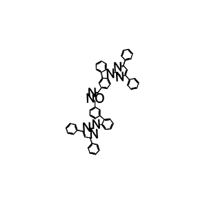 c1ccc(-c2cc(-c3ccccc3)nc(-n3c4ccccc4c4cc(-c5nnc(-c6ccc7c(c6)c6ccccc6n7-c6nc(-c7ccccc7)cc(-c7ccccc7)n6)o5)ccc43)n2)cc1